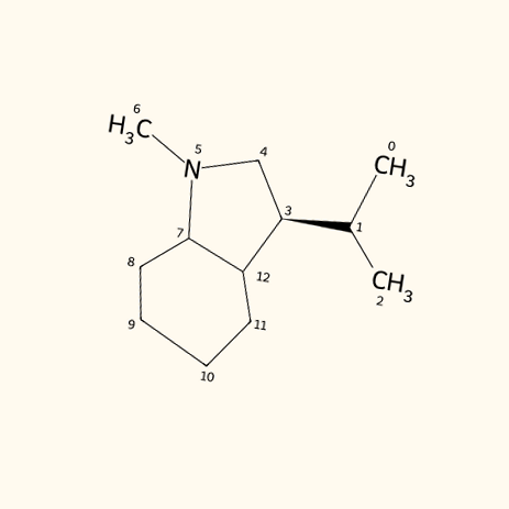 CC(C)[C@@H]1CN(C)C2CCCCC21